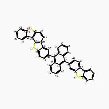 c1ccc2c(c1)sc1cc(-c3c4ccccc4c(-c4ccc5sc6c(ccc7sc8ccccc8c76)c5c4)c4ccccc34)ccc12